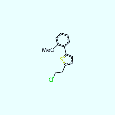 COc1ccccc1-c1ccc(CCCl)s1